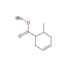 CC1CC=CCC1C(=O)OC(C)(C)C